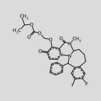 CC(C)OC(=O)OCOc1c2n(ccc1=O)N1C(c3ccccc3)c3cc(F)c(F)cc3CCCC1N(C)C2=O